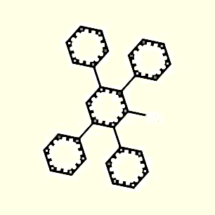 Pc1c(-c2ccccc2)c(-c2ccccc2)cc(-c2ccccc2)c1-c1ccccc1